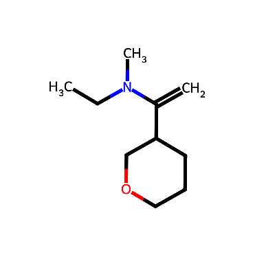 C=C(C1CCCOC1)N(C)CC